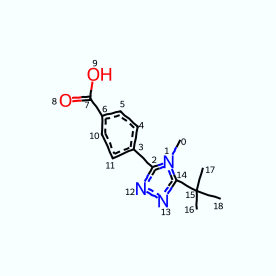 Cn1c(-c2ccc(C(=O)O)cc2)nnc1C(C)(C)C